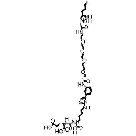 O=C(O)CC[C@H](NC(=O)N[C@@H](CCCCNc1nc(-c2cccc(NC(=O)CCOCCOCCOCCOCCNC(=O)CN3C=C(CCCF)NN3)c2)cs1)C(=O)O)C(=O)O